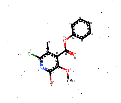 CCCCOc1c(Br)nc(Cl)c(C)c1C(=O)Oc1ccccc1